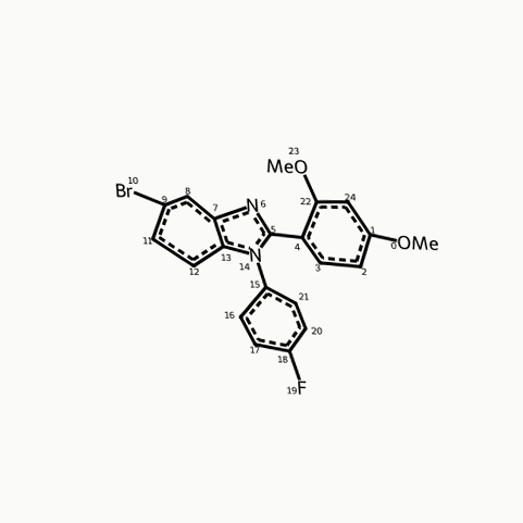 COc1ccc(-c2nc3cc(Br)ccc3n2-c2ccc(F)cc2)c(OC)c1